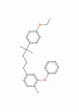 CCOc1ccc(C(C)(C)CCCc2ccc(F)c(Oc3ccccc3)c2)cc1